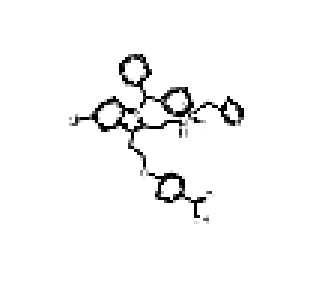 O=C(O)c1ccc(OCCc2c(CCNS(=O)(=O)Cc3ccsc3)n(C(c3ccccc3)c3ccccc3)c3ccc(Cl)cc23)cc1